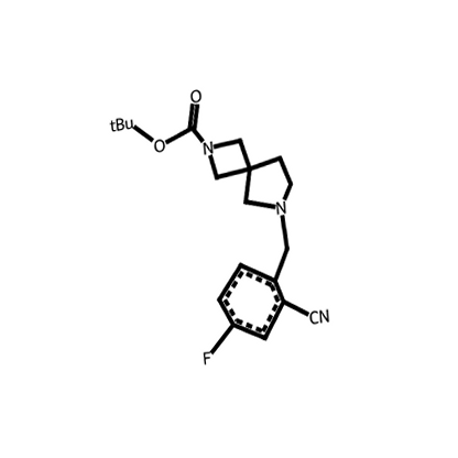 CC(C)(C)OC(=O)N1CC2(CCN(Cc3ccc(F)cc3C#N)C2)C1